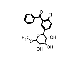 CO[C@H]1O[C@@H](c2ccc(Cl)c(C(=O)c3ccccc3)c2)[C@H](O)[C@@H](O)[C@@H]1O